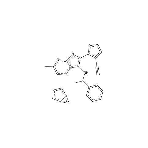 C#Cc1ccsc1-c1nc2nc(C)ccn2c1NC(C)c1ccccc1.c1cc2cc-2c1